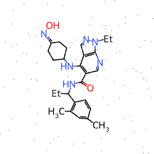 CCC(NC(=O)c1cnc2c(cnn2CC)c1NC1CCC(=NO)CC1)c1ccc(C)cc1C